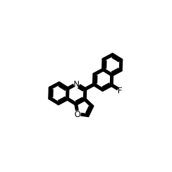 Fc1cc(-c2nc3ccccc3c3occc23)cc2ccccc12